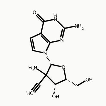 C#CC1(N)[C@@H](O)[C@@H](CO)O[C@H]1n1ccc2c(=O)[nH]c(N)nc21